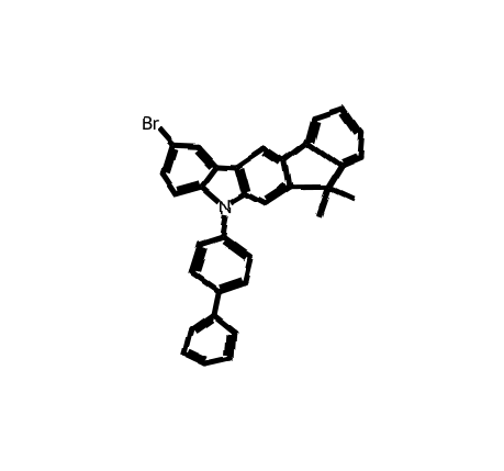 CC1(C)c2ccccc2-c2cc3c4cc(Br)ccc4n(-c4ccc(-c5ccccc5)cc4)c3cc21